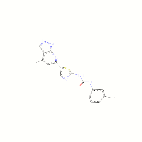 N#Cc1cccc(NC(=O)Nc2ncc(-c3cc(C(=O)O)c4cn[nH]c4n3)s2)c1